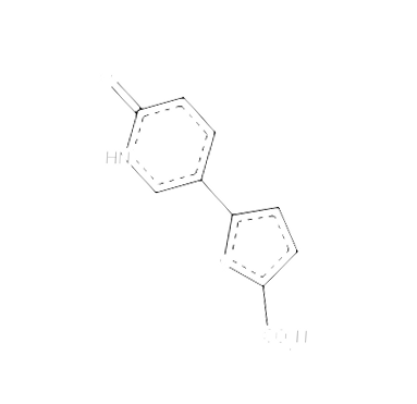 O=C(O)c1ccc(-c2ccc(=O)[nH]c2)s1